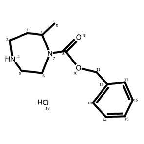 CC1CCNCCN1C(=O)OCc1ccccc1.Cl